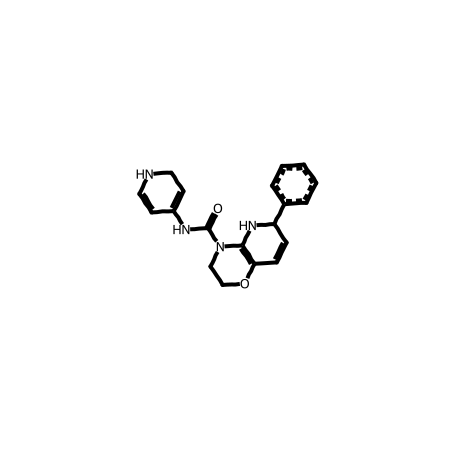 O=C(NC1=CCNC=C1)N1CCOC2=C1NC(c1ccccc1)C=C2